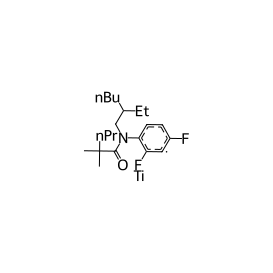 CCCCC(CC)CN(C(=O)C(C)(C)CCC)c1ccc(F)[c]c1F.[Ti]